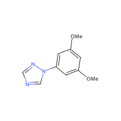 COc1cc(OC)cc(-n2[c]ncn2)c1